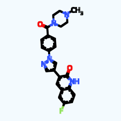 CN1CCN(C(=O)c2ccc(-n3cc(-c4cc5cc(F)ccc5[nH]c4=O)cn3)cc2)CC1